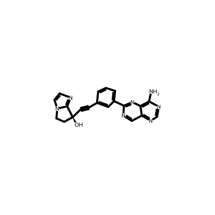 Nc1ncnc2cnc(-c3cccc(C#C[C@]4(O)CCn5ccnc54)c3)nc12